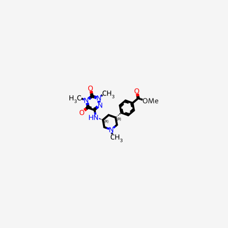 COC(=O)c1ccc([C@H]2C[C@@H](Nc3nn(C)c(=O)n(C)c3=O)CN(C)C2)cc1